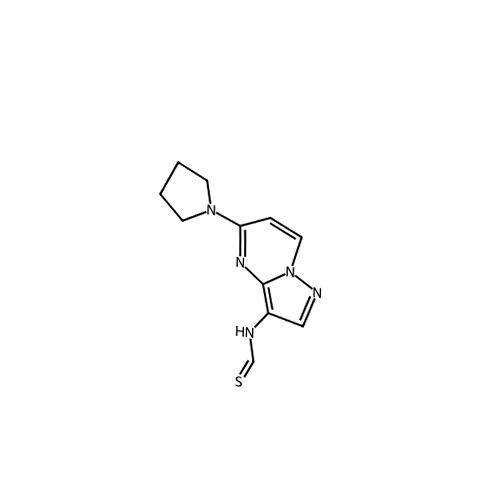 S=CNc1cnn2ccc(N3CCCC3)nc12